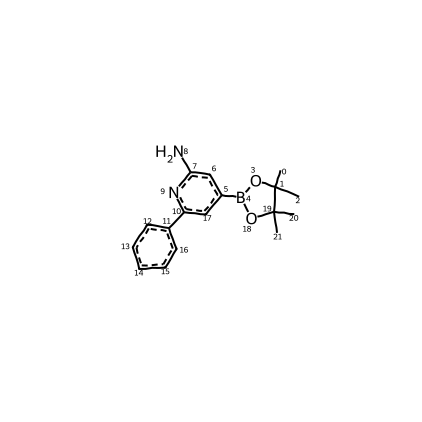 CC1(C)OB(c2cc(N)nc(-c3ccccc3)c2)OC1(C)C